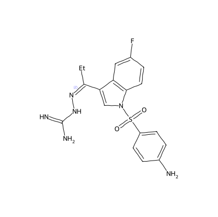 CC/C(=N/NC(=N)N)c1cn(S(=O)(=O)c2ccc(N)cc2)c2ccc(F)cc12